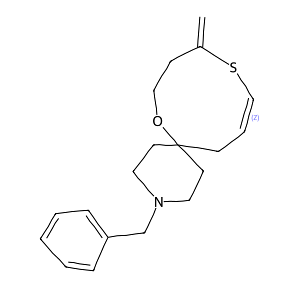 C=C1CCOC2(C/C=C\S1)CCN(Cc1ccccc1)CC2